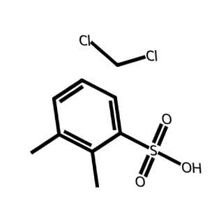 Cc1cccc(S(=O)(=O)O)c1C.ClCCl